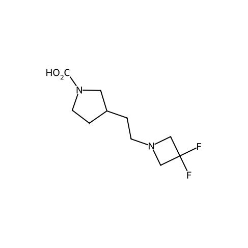 O=C(O)N1CCC(CCN2CC(F)(F)C2)C1